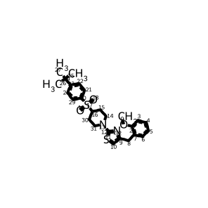 COc1ccccc1Cc1csc(N2CCC(S(=O)(=O)c3ccc(C(C)(C)C)cc3)CC2)n1